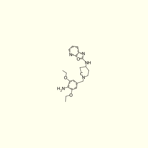 CCOc1cc(CN2CCC(Nc3nc4cccnc4o3)CC2)cc(OCC)c1N